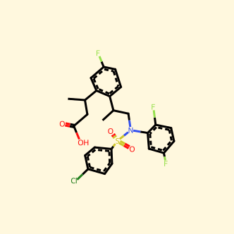 CC(CC(=O)O)c1cc(F)ccc1C(C)CN(c1cc(F)ccc1F)S(=O)(=O)c1ccc(Cl)cc1